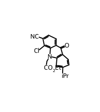 CCOC(=O)Cn1c2cc(C(C)C)ccc2c(=O)c2ccc(C#N)c(Cl)c21